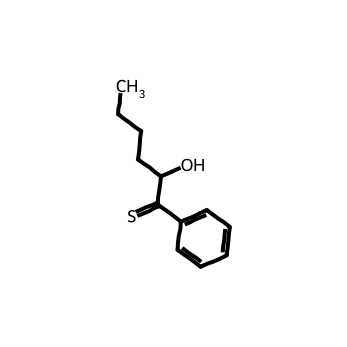 CCCCC(O)C(=S)c1ccccc1